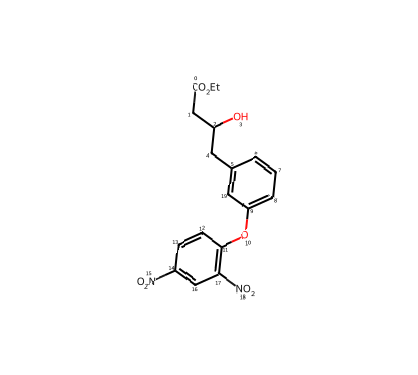 CCOC(=O)CC(O)Cc1cccc(Oc2ccc([N+](=O)[O-])cc2[N+](=O)[O-])c1